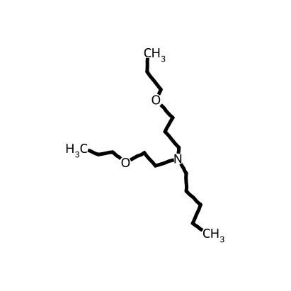 CCCCCN(CCCOCCC)CCOCCC